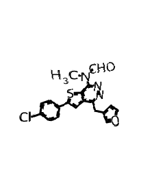 CN(C=O)c1nnc(Cc2ccoc2)c2cc(-c3ccc(Cl)cc3)sc12